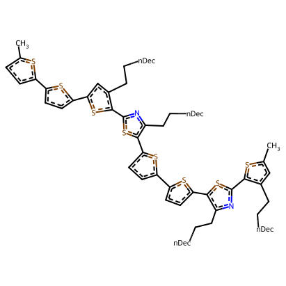 CCCCCCCCCCCCc1cc(C)sc1-c1nc(CCCCCCCCCCCC)c(-c2ccc(-c3ccc(-c4sc(-c5sc(-c6ccc(-c7ccc(C)s7)s6)cc5CCCCCCCCCCCC)nc4CCCCCCCCCCCC)s3)s2)s1